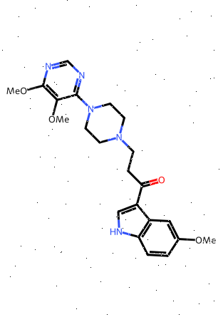 COc1ccc2[nH]cc(C(=O)CCN3CCN(c4ncnc(OC)c4OC)CC3)c2c1